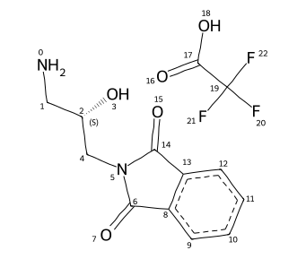 NC[C@H](O)CN1C(=O)c2ccccc2C1=O.O=C(O)C(F)(F)F